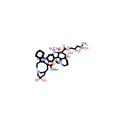 CC[C@]1(O)CC2C[N@@](CCc3c([nH]c4ccccc34)[C@@](C(=O)OC)(c3cc4c(cc3OC)N(C)[C@H]3[C@@](O)(C(=O)NCCC[Si](C)(C)O)[C@H](O)[C@]5(CC)C=CCN6CC[C@]43[C@@H]65)C2)C1